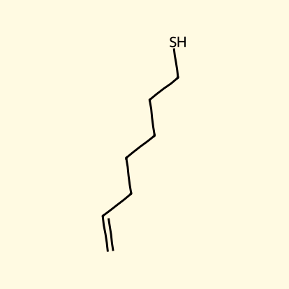 C=CCCCCCS